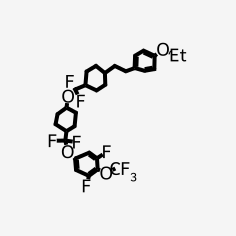 CCOc1ccc(CCC2CCC(C(F)(F)OC3CCC(C(F)(F)Oc4cc(F)c(OC(F)(F)F)c(F)c4)CC3)CC2)cc1